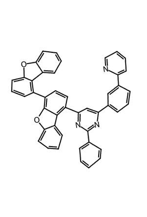 c1ccc(-c2nc(-c3cccc(-c4ccccn4)c3)cc(-c3ccc(-c4cccc5oc6ccccc6c45)c4oc5ccccc5c34)n2)cc1